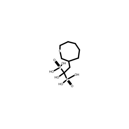 O=P(O)(O)C(O)(CC1CCCCCCC1)P(=O)(O)O